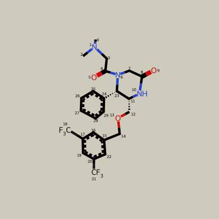 CN(C)CC(=O)N1CC(=O)N[C@H](COCc2cc(C(F)(F)F)cc(C(F)(F)F)c2)[C@@H]1c1ccccc1